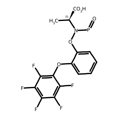 C[C@@H](C(=O)O)N(Oc1ccccc1Oc1c(F)c(F)c(F)c(F)c1F)P=O